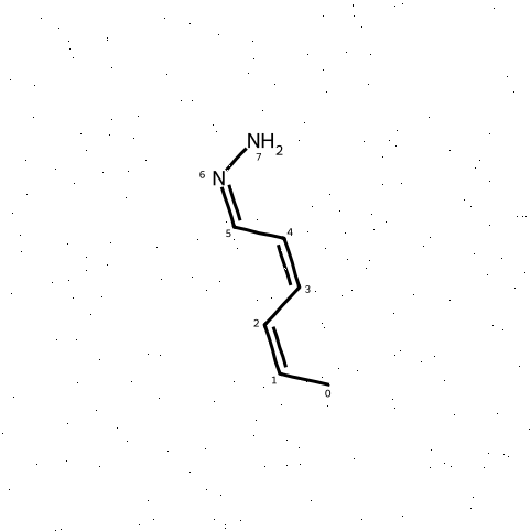 C\C=C/C=C\C=N/N